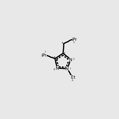 CCn1nc(CC(C)C)c(C(C)C)n1